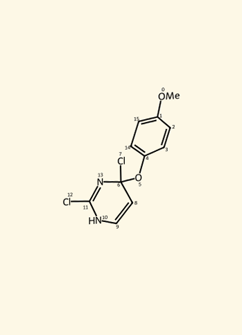 COc1ccc(OC2(Cl)C=CNC(Cl)=N2)cc1